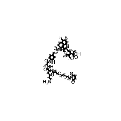 CC[C@@]1(O)C(=O)OCc2c1cc1n(c2=O)Cc2c-1nc1cc(F)c(C)c3c1c2[C@@H](NC(=O)OCc1ccc(NC(=O)[C@H](C)NC(=O)[C@H](CCCCN)NC(=O)CCOCCOCCN2C(=O)C=CC2=O)cc1)CC3